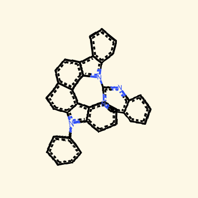 c1ccc(-n2c3ccccc3c3c4c(ccc5c6ccccc6n(-c6ncc7ccccc7n6)c54)ccc32)cc1